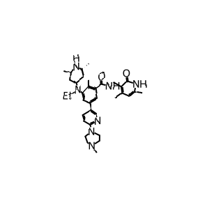 CCN(c1cc(-c2ccc(N3CCN(C)CC3)nc2)cc(C(=O)NCc2c(C)cc(C)[nH]c2=O)c1C)C1C[C@@H](C)N[C@H](C)C1